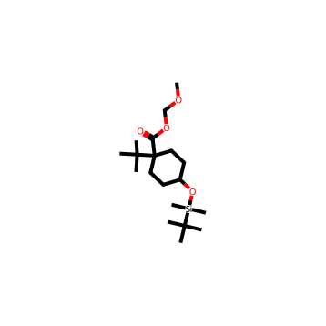 COCOC(=O)C1(C(C)(C)C)CCC(O[Si](C)(C)C(C)(C)C)CC1